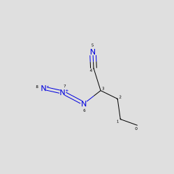 CCCC(C#N)N=[N+]=[N-]